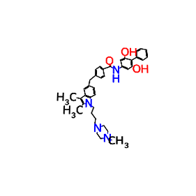 Cc1c(C)n(CCCCN2CCN(C)CC2)c2ccc(Cc3ccc(C(=O)Nc4cc(O)c(-c5ccccc5)c(O)c4)cc3)cc12